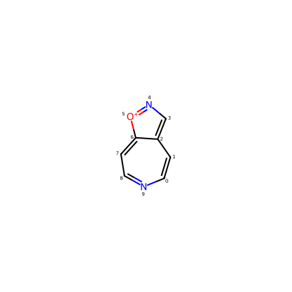 c1cc2cn[o+]c-2ccn1